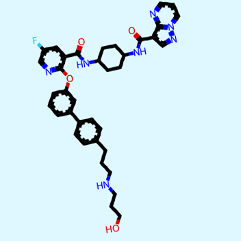 O=C(NC1CCC(NC(=O)c2cnn3cccnc23)CC1)c1cc(F)cnc1Oc1cccc(-c2ccc(CCCNCCCO)cc2)c1